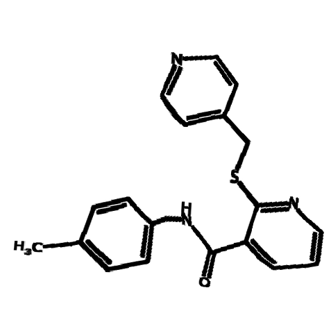 Cc1ccc(NC(=O)c2cccnc2SCc2ccncc2)cc1